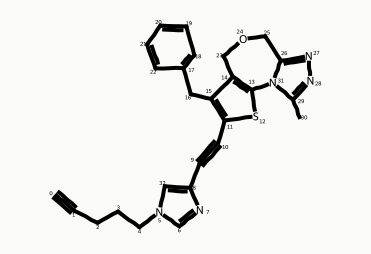 C#CCCCn1cnc(C#Cc2sc3c(c2Cc2ccccc2)COCc2nnc(C)n2-3)c1